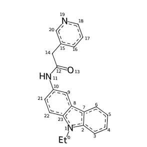 CCn1c2ccccc2c2cc(NC(=O)Cc3cccnc3)ccc21